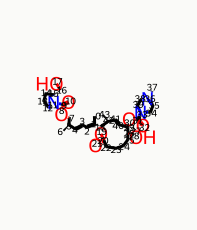 C/C(=C\C=C\[C@@H](C)COC(=O)N1CCC[C@@H]1CO)[C@H]1OC(=O)CCCC[C@](C)(O)[C@H](OC(=O)N2CCN(C)CC2)/C=C/[C@@H]1C